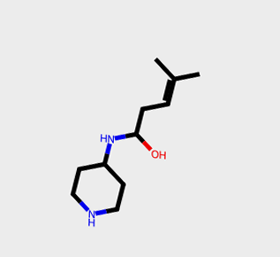 CC(C)=CCC(O)NC1CCNCC1